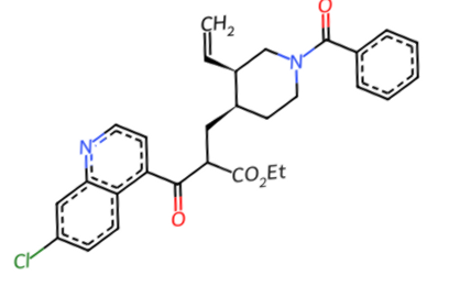 C=C[C@H]1CN(C(=O)c2ccccc2)CC[C@H]1CC(C(=O)OCC)C(=O)c1ccnc2cc(Cl)ccc12